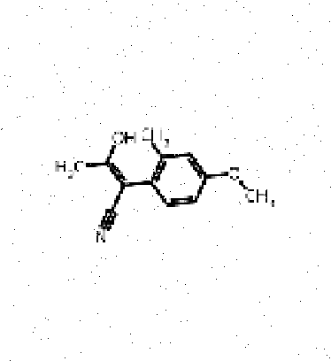 COc1ccc(C(C#N)=C(C)O)c(C)c1